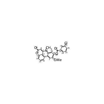 COc1ccc(N(C)c2cc(=O)oc3ccccc23)cc1OC(=O)c1cccc(Cl)c1